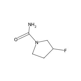 NC(=O)N1CCC(F)C1